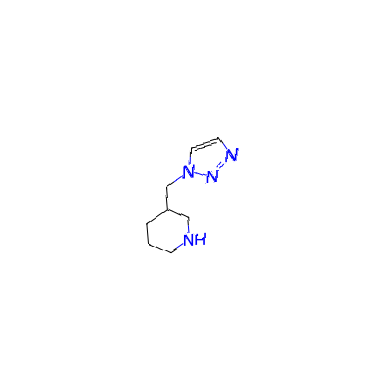 c1cn(CC2CCCNC2)nn1